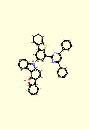 C1=c2sc3c(-c4nc(-c5ccccc5)cc(-c5ccccc5)n4)cc(-n4c5ccccc5c5c6oc7ccccc7c6ccc54)cc3c2=CCC1